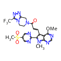 COc1ncnc2c1c(/C=C/C(=O)N1CCn3c(nnc3C(F)(F)F)C1)c(-c1ncc(S(C)(=O)=O)cn1)n2C